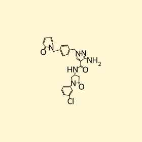 Nc1nn(Cc2ccc(Cn3ccccc3=O)cc2)cc1C(=O)N[C@H]1CC(=O)N(c2cccc(Cl)c2)C1